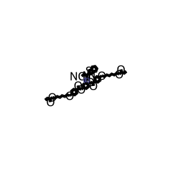 C=CC(=O)OCCCCCCOc1ccc(C(=O)Oc2ccc(OC(=O)c3ccc(OCCCCCCOC(=O)C=C)cc3)c(/C=N/N(CC#N)c3nc4ccccc4s3)c2)cc1